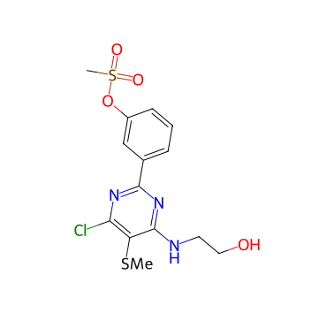 CSc1c(Cl)nc(-c2cccc(OS(C)(=O)=O)c2)nc1NCCO